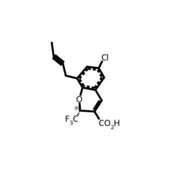 CC#CCc1cc(Cl)cc2c1O[C@@H](C(F)(F)F)C(C(=O)O)=C2